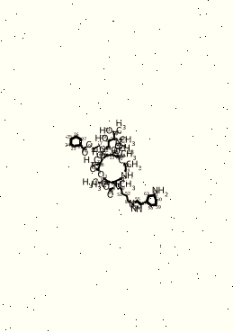 CC[C@H]1OC(=O)[C@@](C)(F)C(=O)[C@H](C)[C@@H](O[C@H](OCCOC(=O)c2ccccc2)C(O)C([C@@H](C)O)N(C)C)[C@](C)(OC)C[C@@H](C)CN[C@H](C)[C@H]2N(CCCCn3cc(-c4cccc(N)c4)nn3)C(=O)O[C@]12C